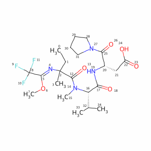 CCC(C)(/N=C(\OC)C(F)(F)F)C(=O)N(C)[C@H](C(=O)N[C@@H](CC(=O)O)C(=O)N1CCCC1)C(C)C